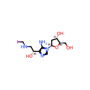 Nc1c([C@H](O)CNCI)ncn1[C@H]1C[C@H](O)[C@@H](CO)O1